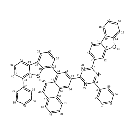 c1ccc(-c2nc(-c3ccc4c(c3)oc3ccccc34)nc(-c3cc(-c4cccc5c4sc4c(-c6ccccc6)cccc45)c4ccc5ccccc5c4c3)n2)cc1